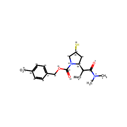 COC(C(=O)N(C)C)[C@@H]1C[C@H](S)CN1C(=O)OCc1ccc([N+](=O)[O-])cc1